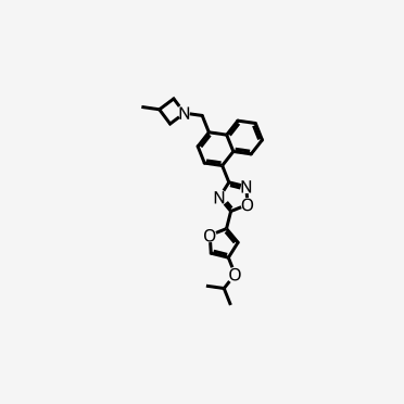 CC1CN(Cc2ccc(-c3noc(-c4cc(OC(C)C)co4)n3)c3ccccc23)C1